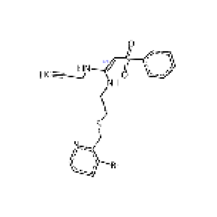 C#CCN/C(=C/S(=O)(=O)c1ccccc1)NCCSCc1ncccc1Br